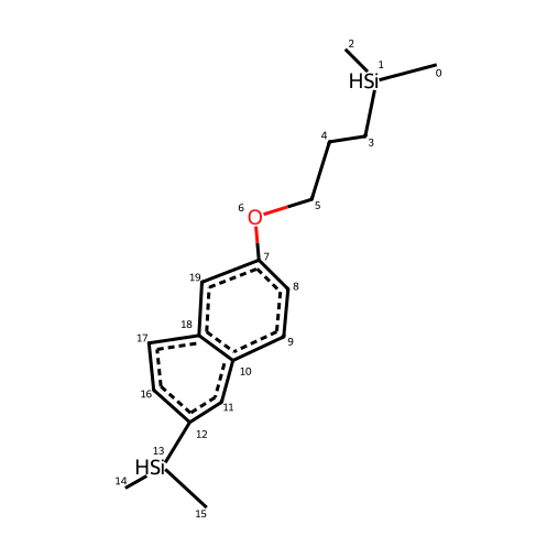 C[SiH](C)CCCOc1ccc2cc([SiH](C)C)ccc2c1